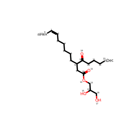 CCCCCC/C=C\CCCCCC(CC(=O)OCC(O)CO)C(=O)CCCCCCCCCCCCC